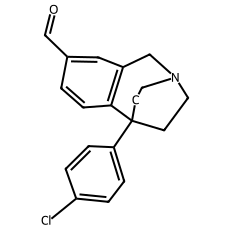 O=Cc1ccc2c(c1)CN1CCC2(c2ccc(Cl)cc2)CC1